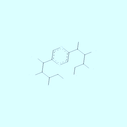 CC(=O)OCC(OC(C)=O)C(OC(C)=O)C(O)c1cnc(C(OC(C)=O)C(OC(C)=O)C(CO)OC(C)=O)cn1